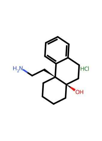 Cl.NCC[C@]12CCCC[C@@]1(O)CCc1ccccc12